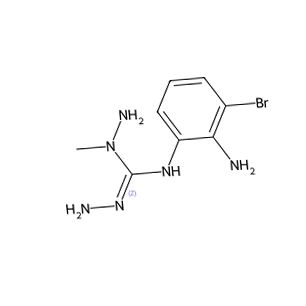 CN(N)/C(=N\N)Nc1cccc(Br)c1N